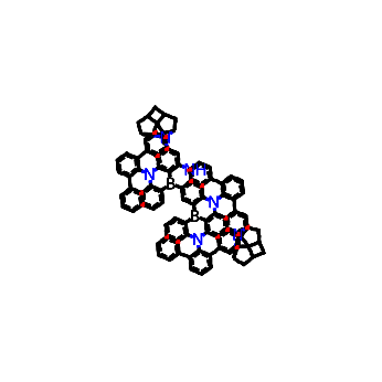 c1ccc(-c2cccc(-c3ccccc3)c2N2c3ccccc3B3c4cc5c(cc4Nc4cc(N6C7CC8CC9CC6CC89C7)cc2c43)N(c2c(-c3ccccc3)cccc2-c2ccccc2)c2cc(N3C4CC6CC7CC3CC67C4)cc3c2B5c2ccccc2N3c2c(-c3ccccc3)cccc2-c2ccccc2)cc1